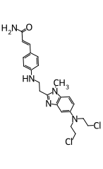 Cn1c(CCNc2ccc(/C=C/C(N)=O)cc2)nc2cc(N(CCCl)CCCl)ccc21